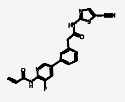 C=CC(=O)Nc1ncc(-c2cccc(CC(=O)Nc3ncc(C#N)s3)c2)cc1F